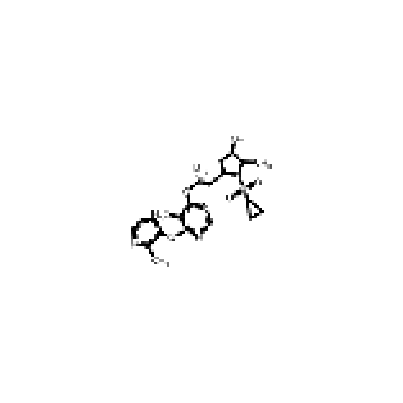 Cc1ncccc1Oc1ncnc(O[C@H](C)CC2CC(O)C(C)N2S(=O)(=O)C2CC2)c1C